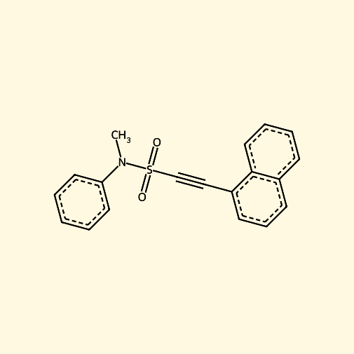 CN(c1ccccc1)S(=O)(=O)C#Cc1cccc2ccccc12